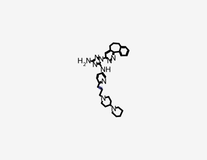 Nc1nc(Nc2ccc(/C=C/CN3CCC(N4CCCCC4)CC3)nc2)n(-c2cc3c(nn2)-c2ccccc2CCC3)n1